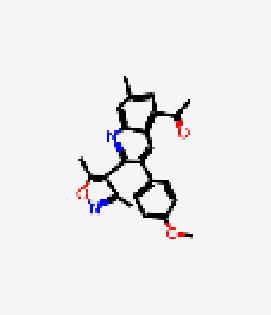 COc1ccc(-c2cc3c(C(C)=O)cc(C)cc3nc2-c2c(C)noc2C)cc1